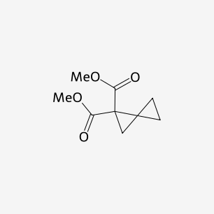 COC(=O)C1(C(=O)OC)CC12CC2